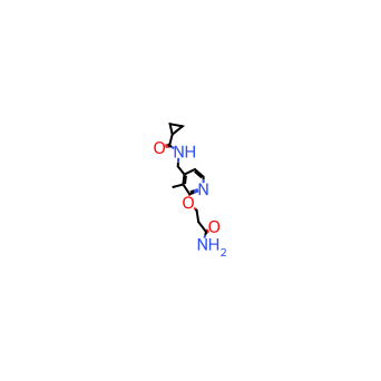 Cc1c(CNC(=O)C2CC2)ccnc1OCCC(N)=O